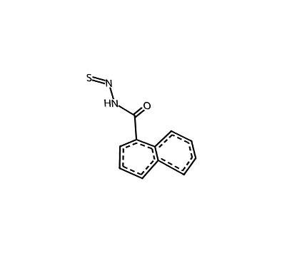 O=C(NN=S)c1cccc2ccccc12